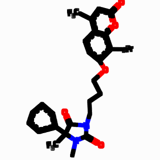 CCCc1c(OCCCCN2C(=O)N(C)C(c3ccccc3)(C(F)(F)F)C2=O)ccc2c(C(F)(F)F)cc(=O)oc12